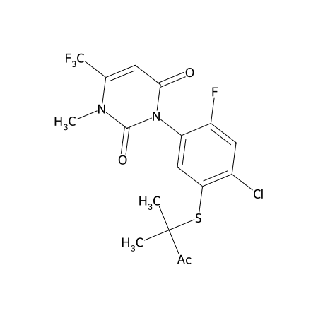 CC(=O)C(C)(C)Sc1cc(-n2c(=O)cc(C(F)(F)F)n(C)c2=O)c(F)cc1Cl